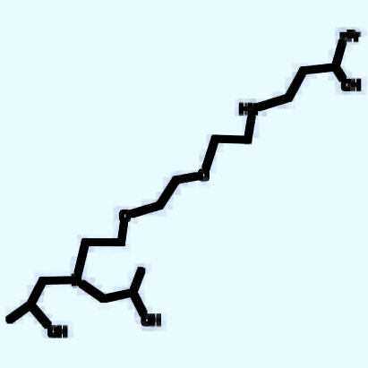 CCCC(O)CCNCCOCCOCCN(CC(C)O)CC(C)O